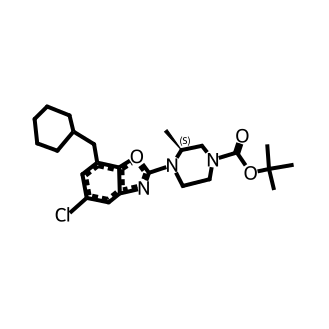 C[C@H]1CN(C(=O)OC(C)(C)C)CCN1c1nc2cc(Cl)cc(CC3CCCCC3)c2o1